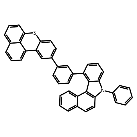 c1ccc(-n2c3cccc(-c4cccc(-c5ccc6c(c5)-c5cccc7cccc(c57)S6)c4)c3c3c4ccccc4ccc32)cc1